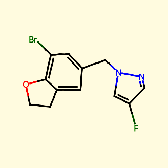 Fc1cnn(Cc2cc(Br)c3c(c2)CCO3)c1